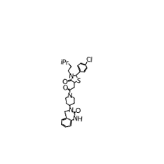 CC(C)CCN1C(=O)C(CC(=O)N2CCC(N3Cc4ccccc4NC3=O)CC2)SC1c1ccc(Cl)cc1